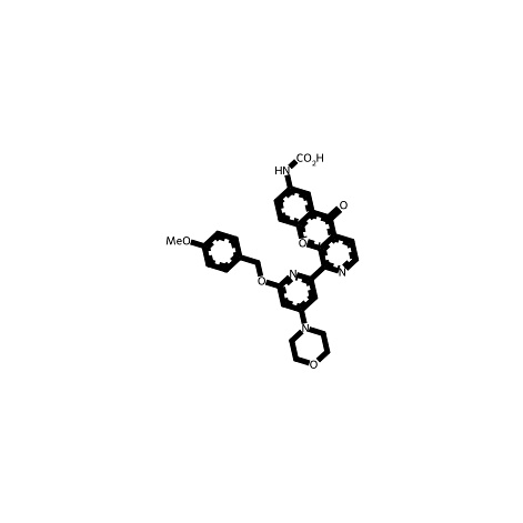 COc1ccc(COc2cc(N3CCOCC3)cc(-c3nccc4c(=O)c5cc(NC(=O)O)ccc5oc34)n2)cc1